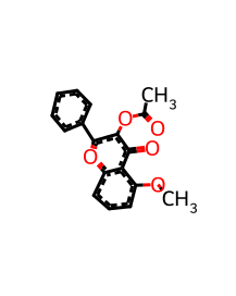 COc1cccc2oc(-c3ccccc3)c(OC(C)=O)c(=O)c12